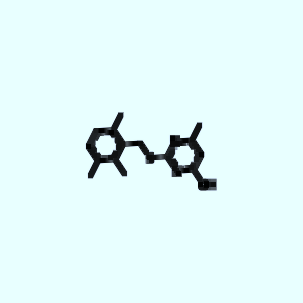 Cc1cc(O)nc(SCc2c(C)ccc(C)c2C)n1